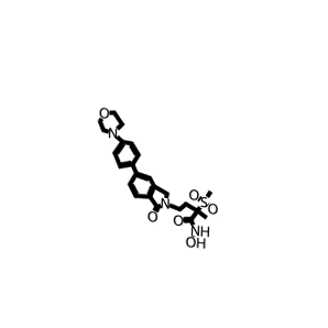 CC(CCN1Cc2cc(-c3ccc(N4CCOCC4)cc3)ccc2C1=O)(C(=O)NO)S(C)(=O)=O